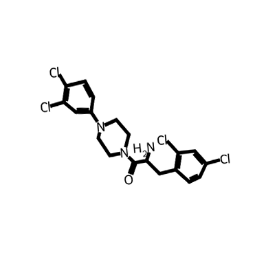 NC(Cc1ccc(Cl)cc1Cl)C(=O)N1CCN(c2ccc(Cl)c(Cl)c2)CC1